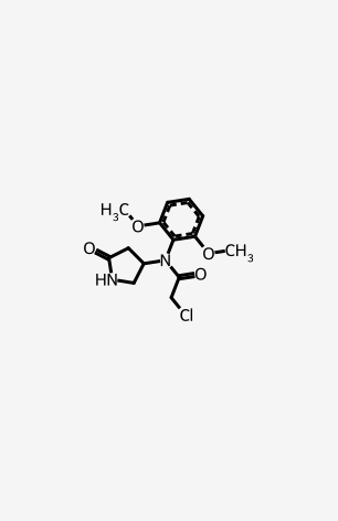 COc1cccc(OC)c1N(C(=O)CCl)C1CNC(=O)C1